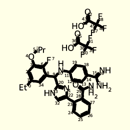 CCc1cc(OC(C)C)c(F)c(C(Nc2ccc(C(=N)N)cc2)c2nc(-c3ccccc3C(N)=O)c[nH]2)c1.O=C(O)C(F)(F)F.O=C(O)C(F)(F)F